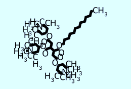 CCCCCCCCCCCCCOC(=O)C(CC(=O)OC1CC(C)(C)N(C)C(C)(C)C1)C(CC(=O)OC1CC(C)(C)N(C)C(C)(C)C1)C(=O)OC1CC(C)(C)N(C)C(C)(C)C1